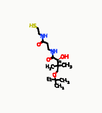 CCC(C)(C)OCC(C)(C)[C@@H](O)C(=O)NCCC(=O)NCCS